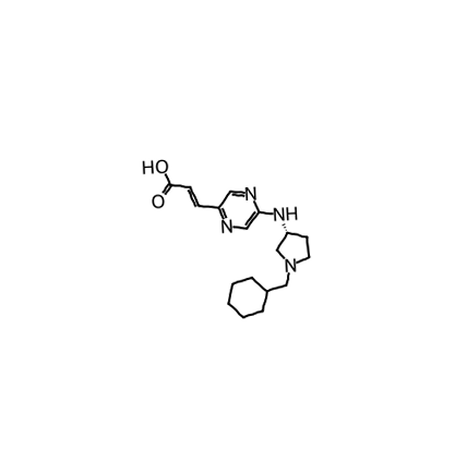 O=C(O)/C=C/c1cnc(N[C@@H]2CCN(CC3CCCCC3)C2)cn1